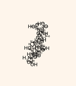 CC(C)C[C@H](NC(=O)[C@H](Cc1ccc(O)cc1)NC(=O)[C@H](CO)NC(=O)[C@H](CO)NC(=O)[C@@H](NC(=O)[C@@H](N)CC(=O)O)C(C)C)C(=O)N[C@@H](CCC(=O)O)C(=O)NCC(=O)O